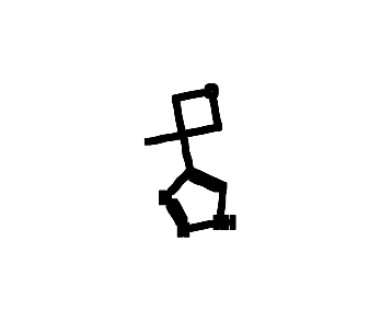 CC1(c2c[nH]nn2)COC1